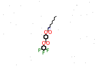 CCCCCC/C=C/C(=O)Oc1ccc(C(=O)Oc2cc(F)c(F)c(F)c2)cc1